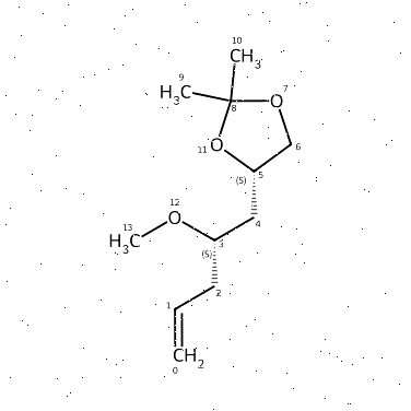 C=CC[C@@H](C[C@H]1COC(C)(C)O1)OC